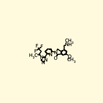 CNCc1cc(OC)cc2c1CN(c1cccc(-c3nncn3[C@@H](C)CC(F)(F)F)n1)C2=O